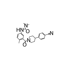 Cc1ccc(NC(=O)N(C)C)cc1C(=O)N1CCC(c2ccc(C#N)cc2)CC1